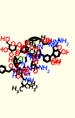 CN[C@H](CC(C)C)C(=O)N[C@H]1C(=O)N[C@@H](CC(N)=O)C(=O)N[C@H]2C(=O)N[C@H]3C(=O)N[C@H](C(=O)N[C@@H](C(=O)NN)c4cc(O)cc(O)c4-c4cc3ccc4O)[C@H](O)c3ccc(c(Cl)c3)Oc3cc2cc(c3O[C@@H]2O[C@H](CO)[C@@H](O)[C@H](O)[C@H]2O[C@H]2C[C@](C)(NCCn3ccc(NC(=O)Cc4ccc(Cl)c(Cl)c4)nc3=O)[C@H](O)[C@H](C)O2)Oc2ccc(cc2Cl)[C@H]1O